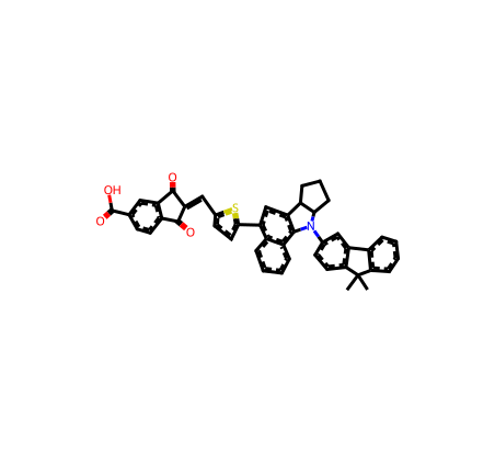 CC1(C)c2ccccc2-c2cc(N3c4c(cc(-c5ccc(/C=C6\C(=O)c7ccc(C(=O)O)cc7C6=O)s5)c5ccccc45)C4CCCC43)ccc21